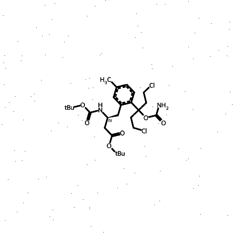 Cc1ccc(C(CCCl)(CCCl)OC(N)=O)c(C[C@@H](CC(=O)OC(C)(C)C)NC(=O)OC(C)(C)C)c1